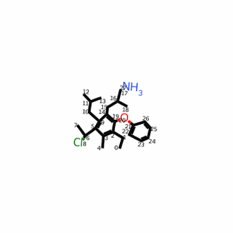 CCc1c(C)c(C(C)Cl)c(CC(C)C)c(CC(C)C)c1Oc1ccccc1.N